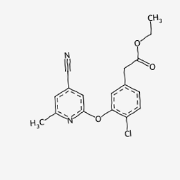 CCOC(=O)Cc1ccc(Cl)c(Oc2cc(C#N)cc(C)n2)c1